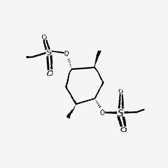 C[C@H]1C[C@H](OS(C)(=O)=O)[C@@H](C)C[C@@H]1OS(C)(=O)=O